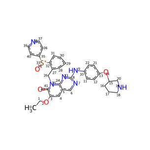 CCOc1cc2cnc(Nc3ccc(OC4CCCNC4)cc3)nc2n(Cc2ccccc2[S+]([O-])c2ccncc2)c1=O